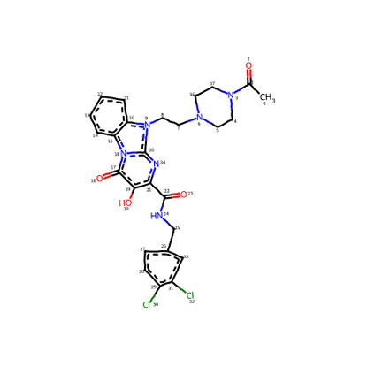 CC(=O)N1CCN(CCn2c3ccccc3n3c(=O)c(O)c(C(=O)NCc4ccc(Cl)c(Cl)c4)nc23)CC1